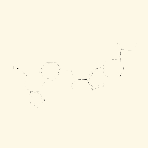 COC(=O)N1CCc2cnc(C(=O)Nc3cccc(-c4nnnn4[C@H](C)CO)n3)cc2C1